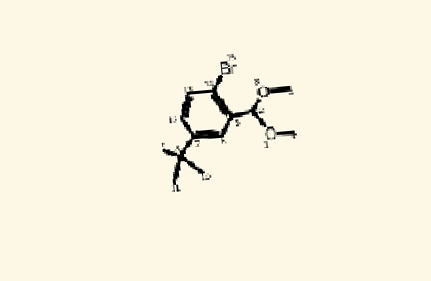 COC(OC)c1cc(C(C)(C)C)ccc1Br